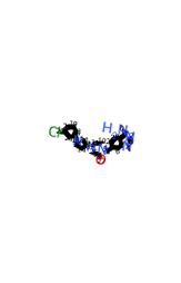 Nc1ncnc2cc(CN3CCN(C4CCN(c5cccc(Cl)c5)C4)CC3=O)ccc12